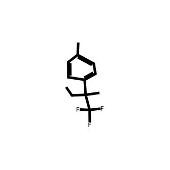 CCC(C)(c1ccc(C)cc1)C(F)(F)F